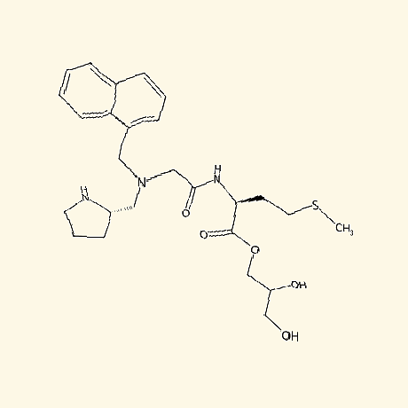 CSCC[C@H](NC(=O)CN(Cc1cccc2ccccc12)C[C@@H]1CCCN1)C(=O)OCC(O)CO